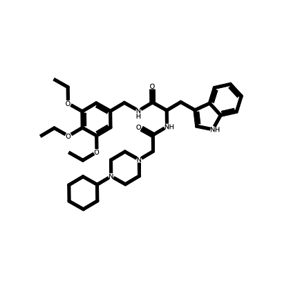 CCOc1cc(CNC(=O)C(Cc2c[nH]c3ccccc23)NC(=O)CN2CCN(C3CCCCC3)CC2)cc(OCC)c1OCC